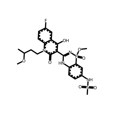 COC(C)CCn1c(=O)c(C2=NP(=O)(OC)c3cc(NS(C)(=O)=O)ccc3N2)c(O)c2cc(F)ccc21